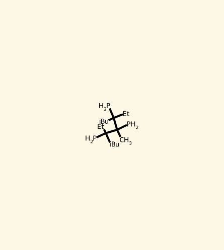 CCC(C)C(P)(CC)C(C)(P)C(P)(CC)C(C)CC